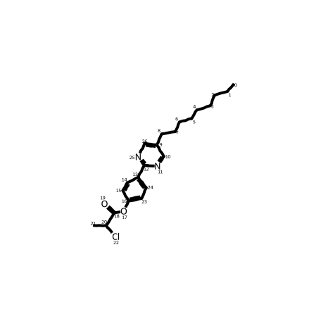 CCCCCCCCCc1cnc(-c2ccc(OC(=O)C(C)Cl)cc2)nc1